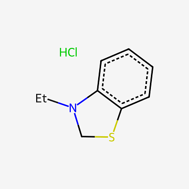 CCN1CSc2ccccc21.Cl